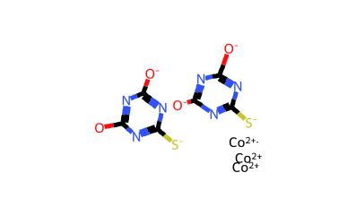 [Co+2].[Co+2].[Co+2].[O-]c1nc([O-])nc([S-])n1.[O-]c1nc([O-])nc([S-])n1